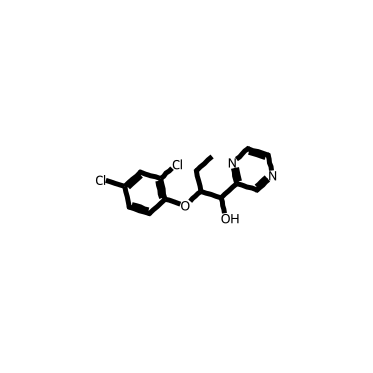 CCC(Oc1ccc(Cl)cc1Cl)C(O)c1cnccn1